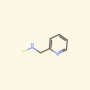 FNCc1ccccn1